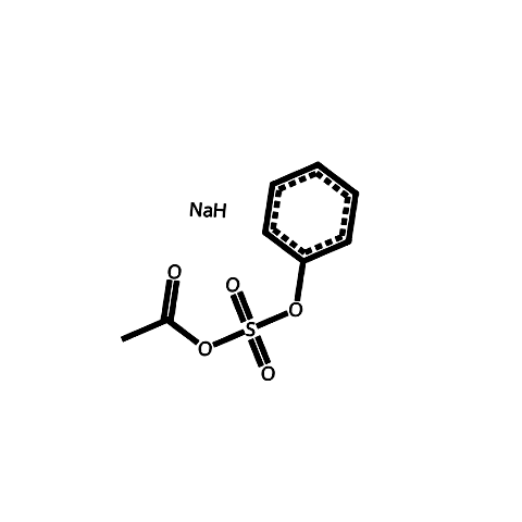 CC(=O)OS(=O)(=O)Oc1ccccc1.[NaH]